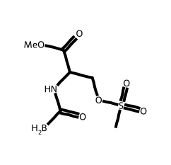 BC(=O)NC(COS(C)(=O)=O)C(=O)OC